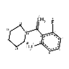 C=C(c1c(C)cccc1F)N1CCCCC1